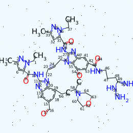 CCn1nc(C)cc1C(=O)Nc1nc2cc(C=O)cc3c2n1C/C=C/Cn1c(NC(=O)c2cc(C)nn2CC)nc2cc(C(=O)NCCCC(=N)NN)cc(c21)OCC(N1CCOCC1)CC3